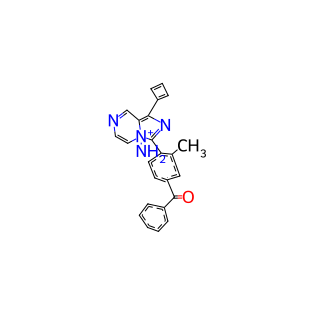 Cc1cc(C(=O)c2ccccc2)ccc1C1=NC(C2=CC=C2)=C2C=NC=C[N+]12N